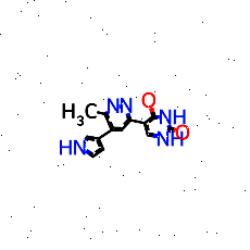 Cc1nnc(-c2c[nH]c(=O)[nH]c2=O)cc1-c1cc[nH]c1